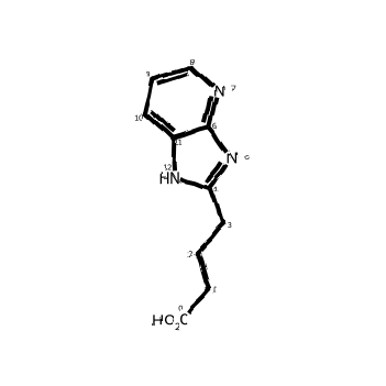 O=C(O)CCCc1nc2ncccc2[nH]1